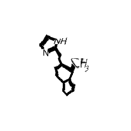 CC1=C(Cc2ncc[nH]2)CCc2ccccc21